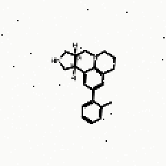 Cc1ccccc1-c1cc2c3c(c1)[C@@H]1CNC[C@@H]1CN3CCC2